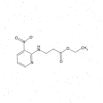 CCOC(=O)CCNc1ncccc1[N+](=O)[O-]